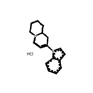 C1=C(n2ccc3ccccc32)CC2CCCCN2C1.Cl